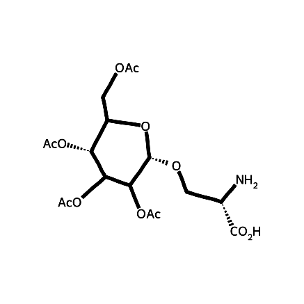 CC(=O)OCC1O[C@H](OC[C@H](N)C(=O)O)C(OC(C)=O)C(OC(C)=O)[C@@H]1OC(C)=O